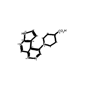 O=C(O)C1CCN(c2cnnc3cnc4[nH]ccc4c23)CC1